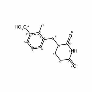 Cc1c(SC2CCC(=O)NC2=O)cccc1C(=O)O